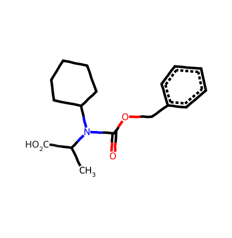 CC(C(=O)O)N(C(=O)OCc1ccccc1)C1CCCCC1